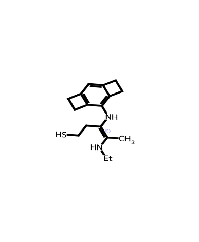 CCN/C(C)=C(\CCS)Nc1c2c(cc3c1CC3)CC2